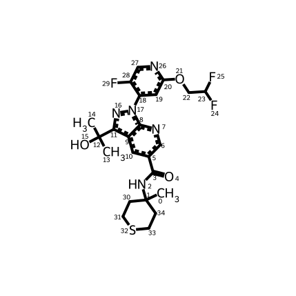 CC1(NC(=O)c2cnc3c(c2)c(C(C)(C)O)nn3-c2cc(OCC(F)F)ncc2F)CCSCC1